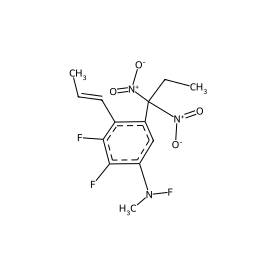 CC=Cc1c(C(CC)([N+](=O)[O-])[N+](=O)[O-])cc(N(C)F)c(F)c1F